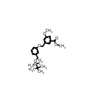 COC(=O)c1cc(COc2cccc(CO[Si](C)(C)C(C)(C)C)c2)cc(OC)c1